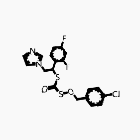 O=C(SOCc1ccc(Cl)cc1)SC(Cn1ccnc1)c1ccc(F)cc1F